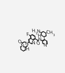 C[C@@H]1C[C@H](N)C[C@H](c2ccncc2NC(=O)c2ccc(F)c3cc(N4CC(=O)N5CCCC[C@@H]5C4)cnc23)C1